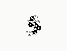 COc1cc(-c2cccc3cc([C@H](C)Nc4nc(N)ncc4C#N)n(-c4ccccc4)c(=O)c23)cnc1OC